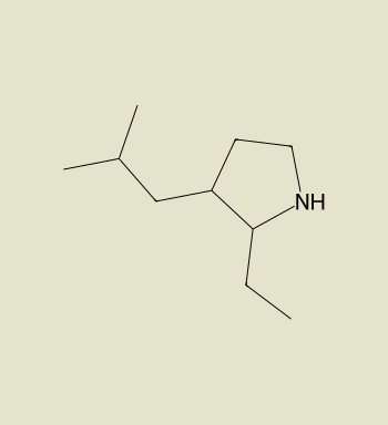 CCC1NCCC1CC(C)C